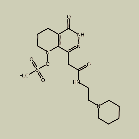 CS(=O)(=O)ON1CCCc2c1c(CC(=O)NCCN1CCCCC1)n[nH]c2=O